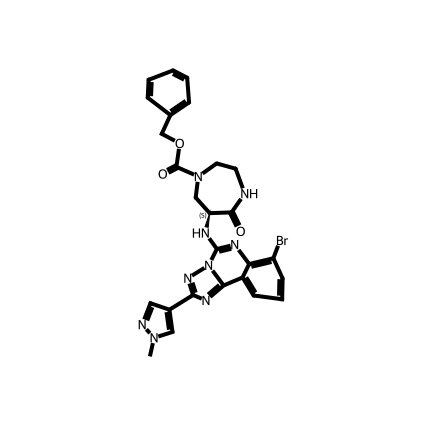 Cn1cc(-c2nc3c4cccc(Br)c4nc(N[C@H]4CN(C(=O)OCc5ccccc5)CCNC4=O)n3n2)cn1